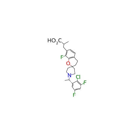 CC(Cc1ccc2c(c1F)OC1(CC2)CCN(C(C)c2cc(F)cc(F)c2Cl)CC1)C(=O)O